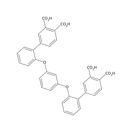 O=C(O)c1ccc(-c2ccccc2Oc2cccc(Oc3ccccc3-c3ccc(C(=O)O)c(C(=O)O)c3)c2)cc1C(=O)O